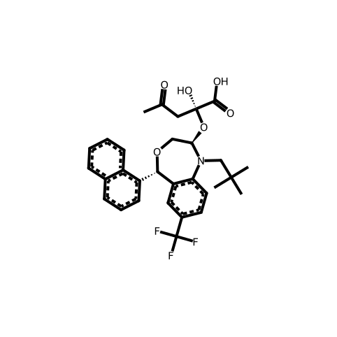 CC(=O)C[C@](O)(O[C@@H]1CO[C@@H](c2cccc3ccccc23)c2cc(C(F)(F)F)ccc2N1CC(C)(C)C)C(=O)O